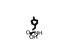 CN[C@@H](CCc1ccc(C)cc1)C(=O)O